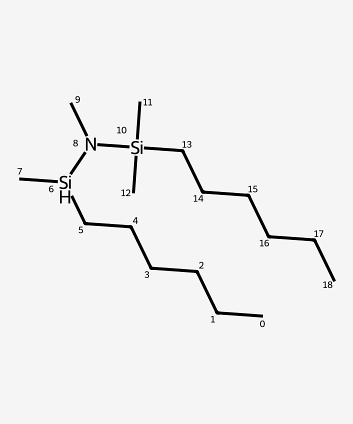 CCCCCC[SiH](C)N(C)[Si](C)(C)CCCCCC